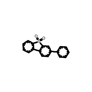 O=S1(=O)c2ccccc2-c2ccc(-c3ccccc3)cc21